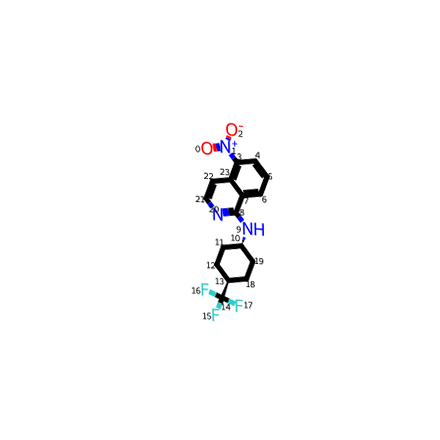 O=[N+]([O-])c1cccc2c(N[C@H]3CC[C@H](C(F)(F)F)CC3)nccc12